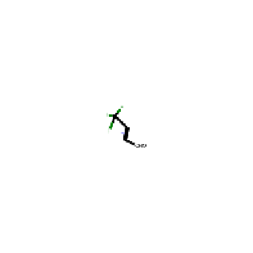 O=C/C=C/C(F)(F)F